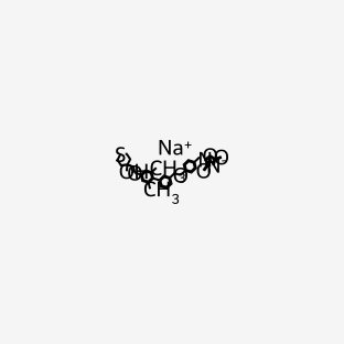 Cc1cc(OCC2(O)CCSCC2)cc(C)c1-c1cccc(COc2ccc(Cn3oc(=O)[n-]c3=O)cc2)c1.[Na+]